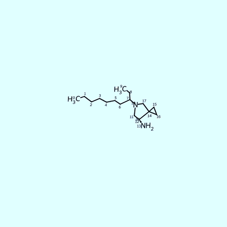 CCCCCCCC(CC)N1C[C@H](N)C2(CC2)C1